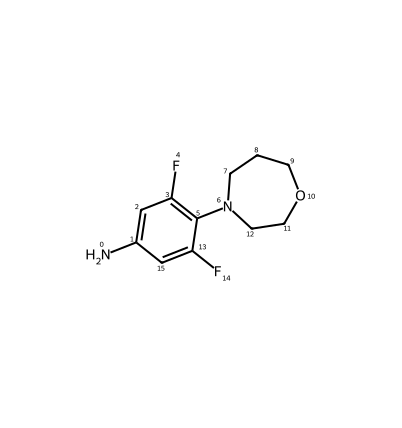 Nc1cc(F)c(N2CCCOCC2)c(F)c1